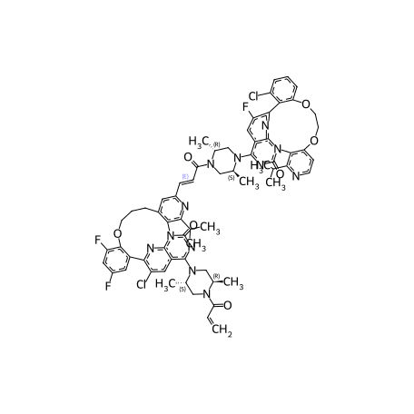 C=CC(=O)N1C[C@H](C)N(c2nc(=O)n3c4nc(c(Cl)cc24)-c2cc(F)cc(F)c2OCCCc2cc(/C=C/C(=O)N4C[C@H](C)N(c5nc(=O)n6c7nc(c(F)cc57)-c5c(Cl)cccc5OCCOc5ccnc(C(C)C)c5-6)C[C@H]4C)nc(C(C)C)c2-3)C[C@H]1C